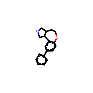 c1ccc(-c2ccc3c(c2)C2CNCC2CCO3)cc1